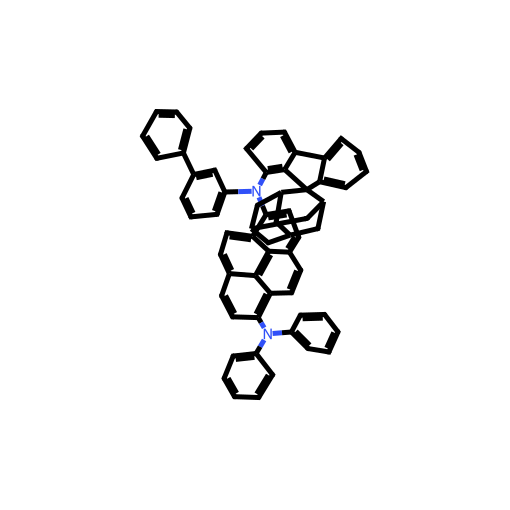 c1ccc(-c2cccc(N(c3cccc4c3C3(c5ccccc5-4)C4CC5CC(C4)CC3C5)c3ccc4ccc5c(N(c6ccccc6)c6ccccc6)ccc6ccc3c4c65)c2)cc1